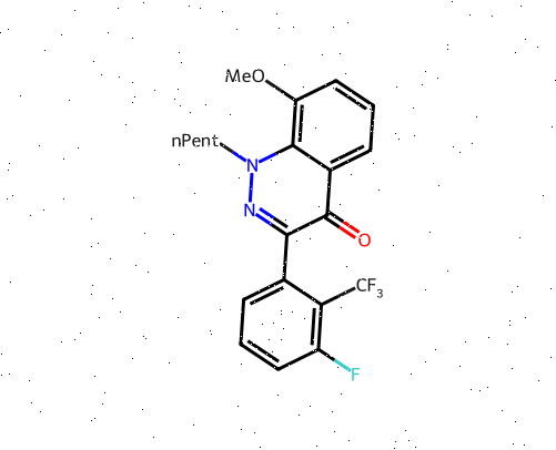 CCCCCn1nc(-c2cccc(F)c2C(F)(F)F)c(=O)c2cccc(OC)c21